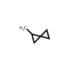 CC1CC12CC2